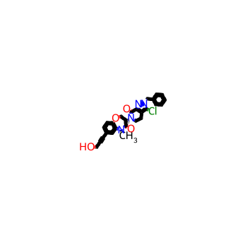 CN1C(=O)[C@@H](N2CCc3c(nn(Cc4ccccc4)c3Cl)C2=O)COc2ccc(C#CCO)cc21